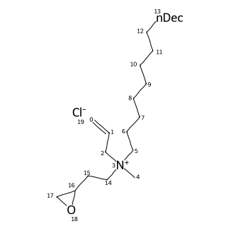 C=CC[N+](C)(CCCCCCCCCCCCCCCCCC)CCC1CO1.[Cl-]